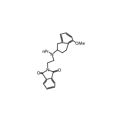 CCCN(CCN1C(=O)c2ccccc2C1=O)C1CCc2c(cccc2OC)C1